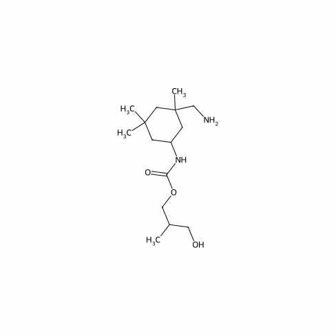 CC(CO)COC(=O)NC1CC(C)(C)CC(C)(CN)C1